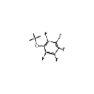 CC(C)(C)Oc1c(F)c(F)c(F)c(F)c1F